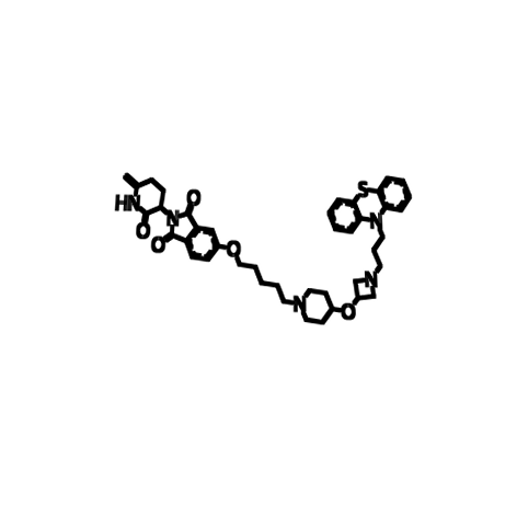 C=C1CCC(N2C(=O)c3ccc(OCCCCCN4CCC(OC5CN(CCCN6c7ccccc7Sc7ccccc76)C5)CC4)cc3C2=O)C(=O)N1